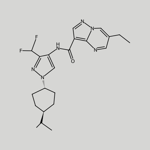 CCc1cnc2c(C(=O)Nc3cn([C@H]4CC[C@H](C(C)C)CC4)nc3C(F)F)cnn2c1